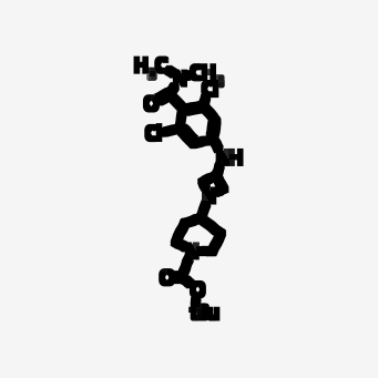 CN(C)C(=O)c1c(Cl)cc(NC2CN(C3CCN(C(=O)OC(C)(C)C)CC3)C2)cc1Cl